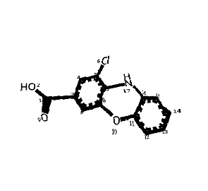 O=C(O)c1cc(Cl)c2c(c1)Oc1ccccc1N2